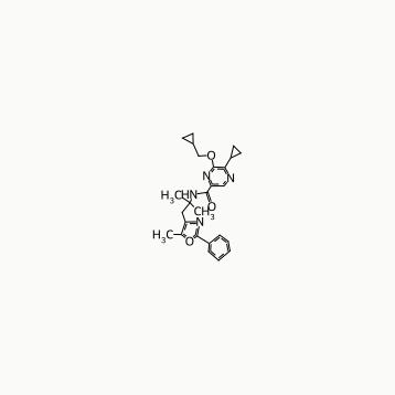 Cc1oc(-c2ccccc2)nc1CC(C)(C)NC(=O)c1cnc(C2CC2)c(OCC2CC2)n1